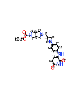 CC(C)(C)OC(=O)N1CC2CN(CC3CN(c4ccc(NC5CCC(=O)NC5=O)cc4)C3)CC2C1